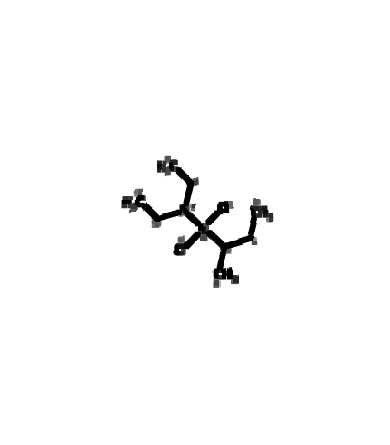 CCC(C)[Si](Cl)(Cl)N(CC)CC